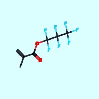 C=C(C)C(=O)OC(F)(F)C(F)(F)C(F)(F)F